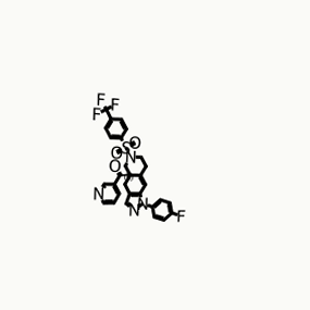 O=C(c1cccnc1)[C@]12Cc3cnn(-c4ccc(F)cc4)c3C=C1CCN(S(=O)(=O)c1ccc(C(F)(F)F)cc1)C2